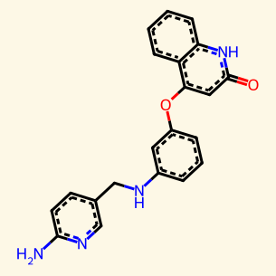 Nc1ccc(CNc2cccc(Oc3cc(=O)[nH]c4ccccc34)c2)cn1